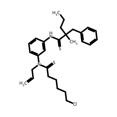 C=CCN(C(=S)CCCCCCl)c1cccc(NC(=S)C(C)(CCC)Cc2ccccc2)c1